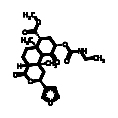 CCNC(=O)O[C@H]1C[C@@H](C(=O)OC)[C@]2(C)CC[C@H]3C(=O)O[C@H](c4ccoc4)C[C@]3(C)C2C1=O